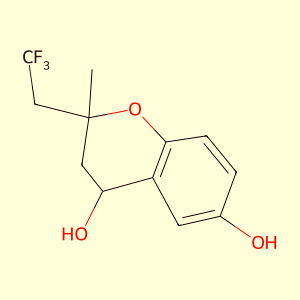 CC1(CC(F)(F)F)CC(O)c2cc(O)ccc2O1